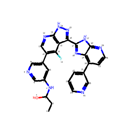 CCC(O)Nc1cncc(-c2cnc3[nH]nc(-c4nc5c(-c6cccnc6)ccnc5[nH]4)c3c2F)c1